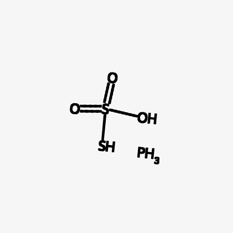 O=S(=O)(O)S.P